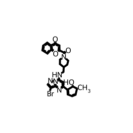 CC1C=CC=C(c2cc(NCC3CCN(C(=O)c4cc(=O)c5ccccc5o4)CC3)n3ncc(Br)c3n2)C1O